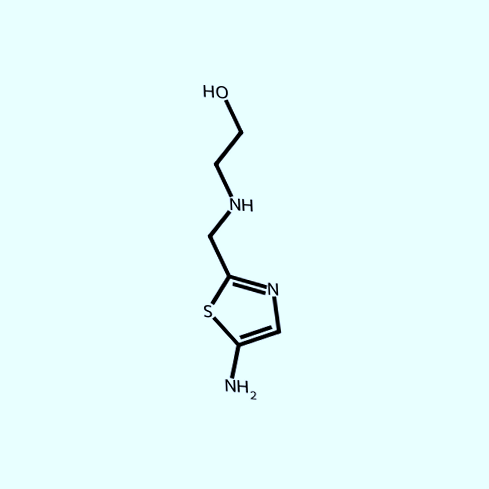 Nc1cnc(CNCCO)s1